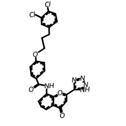 O=C(Nc1cccc2c(=O)cc(-c3nnn[nH]3)oc12)c1ccc(OCCCc2ccc(Cl)c(Cl)c2)cc1